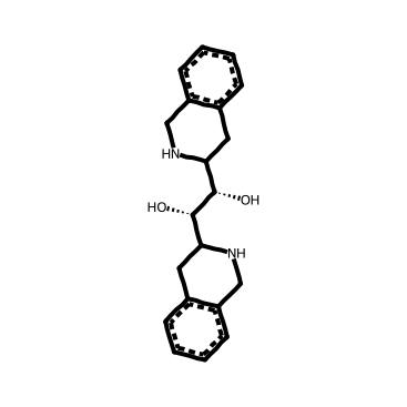 O[C@@H](C1Cc2ccccc2CN1)[C@@H](O)C1Cc2ccccc2CN1